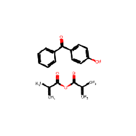 C=C(C)C(=O)OC(=O)C(=C)C.O=C(c1ccccc1)c1ccc(O)cc1